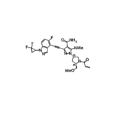 C=CC(=O)N1C[C@@H](n2nc(C#Cc3c(F)ccc4c3cnn4C3CC3(F)F)c(C(N)=O)c2NC)C[C@@H]1COC